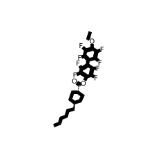 CCCCCC[C@H]1CC[C@H](C(=O)Oc2c(F)c(F)c(-c3c(F)c(F)c(OCC)c(F)c3F)c(F)c2F)CC1